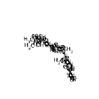 C=CCN(C(=O)O)[C@H](C(=O)N[C@@H](C)C(=O)Nc1ccc(C2=CN3C(=O)c4cc(OC)c(OCCCOc5cc6c(cc5OC)C(=O)N5C=C(c7ccc8c(c7)OCO8)C[C@H]5C=N6)cc4N=C[C@@H]3C2)cc1)C(C)C